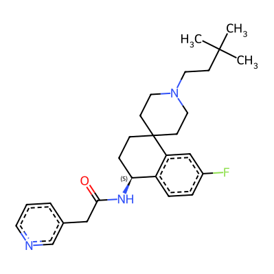 CC(C)(C)CCN1CCC2(CC[C@H](NC(=O)Cc3cccnc3)c3ccc(F)cc32)CC1